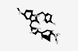 COc1ccc2c(c1)c(Cc1nc(-c3ccc([N+](=O)[O-])cc3)cs1)c(C)n2Cc1ccc(Br)cc1